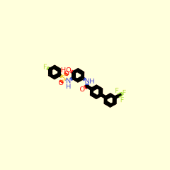 O=C(Nc1ccc(O)c(NS(=O)(=O)c2ccc(F)cc2)c1)c1ccc(-c2cccc(C(F)(F)F)c2)cc1